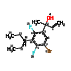 C=CC(C)(O)c1cc(Br)c(F)c([SiH](CC)CC)c1F